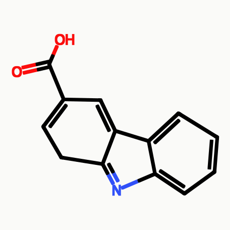 O=C(O)C1=CCC2=Nc3ccccc3C2=C1